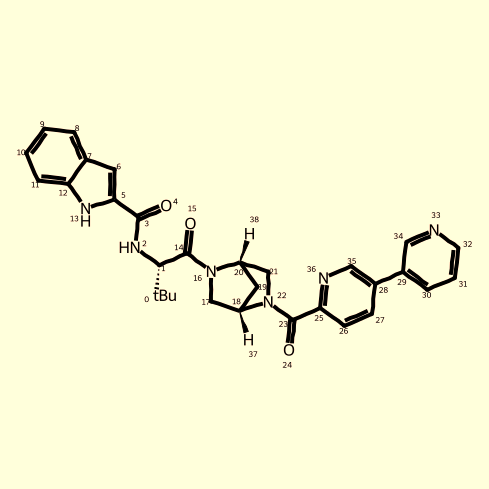 CC(C)(C)[C@H](NC(=O)c1cc2ccccc2[nH]1)C(=O)N1C[C@@H]2C[C@H]1CN2C(=O)c1ccc(-c2cccnc2)cn1